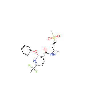 CC(C=CS(C)(=O)=O)NC(=O)c1ccc(C(C)(F)F)nc1Oc1ccccc1